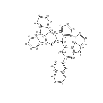 c1ccc2cc(C3=Nc4oc5ccccc5c4C(n4c5ccccc5c5c6c7ccccc7n7c8ccccc8c(cc54)c67)N3)ccc2c1